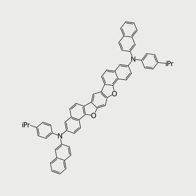 CC(C)c1ccc(N(c2ccc3ccccc3c2)c2ccc3c(ccc4c5cc6c(cc5oc34)oc3c4ccc(N(c5ccc(C(C)C)cc5)c5ccc7ccccc7c5)cc4ccc63)c2)cc1